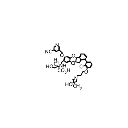 CC1(O)CN(CCCOc2cccc(-c3cccc4c3CC[C@@H]4Oc3cc(OCc4cncc(C#N)c4)c(CN[C@@](C)(CO)C(=O)O)cc3Cl)c2Cl)C1